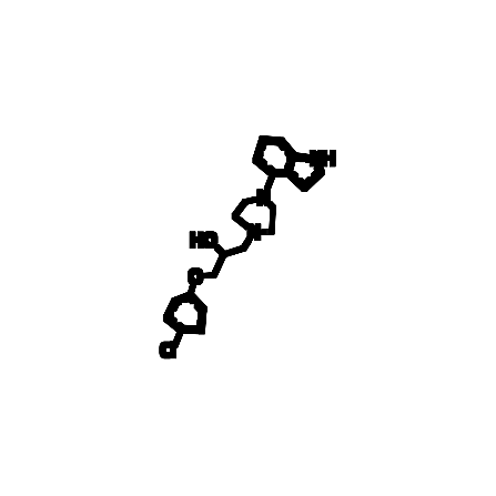 OC(COc1ccc(Cl)cc1)CN1CCN(c2cccc3[nH]ccc23)CC1